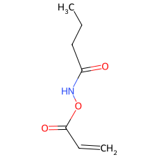 C=CC(=O)ONC(=O)CCC